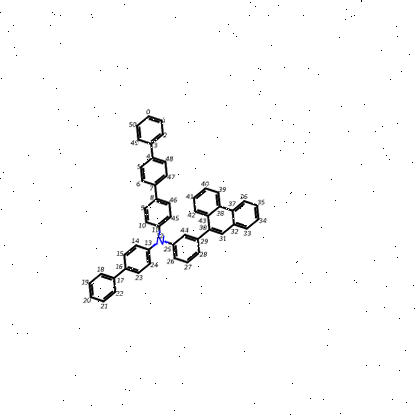 c1ccc(-c2ccc(-c3ccc(N(c4ccc(-c5ccccc5)cc4)c4cccc(-c5cc6ccccc6c6ccccc56)c4)cc3)cc2)cc1